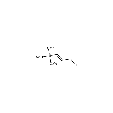 CO[Si](/C=C/CCl)(OC)OC